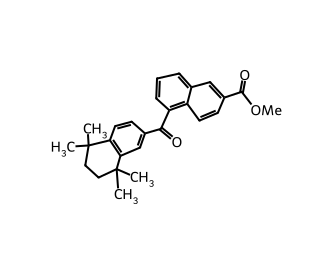 COC(=O)c1ccc2c(C(=O)c3ccc4c(c3)C(C)(C)CCC4(C)C)cccc2c1